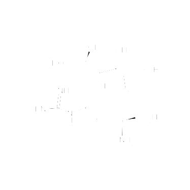 N=C(N)NCCC[C@H](N)C(=O)O.O=C(O)[C@H](O)[C@@H](O)[C@H](O)[C@H](O)CO